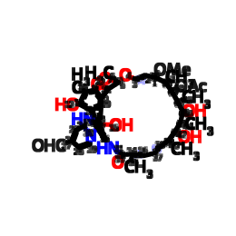 CO[C@H]1/C=C/O[C@@]2(C)Oc3c(C)c(O)c4c(O)c(c5c(c4c3C2=O)NC2C=C(C=O)C=CN52)NC(=O)/C(C)=C\C=C\[C@H](C)[C@H](O)[C@@H](C)[C@@H](O)[C@@H](C)[C@H](OC(C)=O)[C@@H]1C